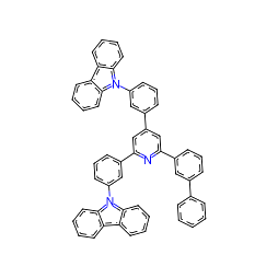 c1ccc(-c2cccc(-c3cc(-c4cccc(-n5c6ccccc6c6ccccc65)c4)cc(-c4cccc(-n5c6ccccc6c6ccccc65)c4)n3)c2)cc1